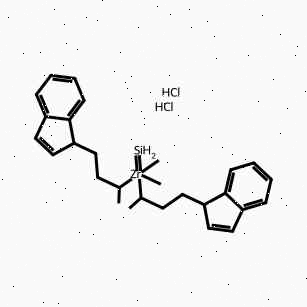 C[CH](CCC1C=Cc2ccccc21)[Zr]([CH3])([CH3])(=[SiH2])[CH](C)CCC1C=Cc2ccccc21.Cl.Cl